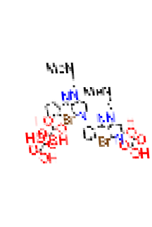 CNCCCn1nc(-c2ccccc2Br)c2cnccc21.CNCCCn1nc(-c2ccccc2Br)c2cnccc21.O=C(O)C(=O)O.O=C(O)C(=O)O.O=C(O)C(=O)O